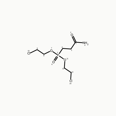 NC(=O)CCP(=O)(OCCCl)OCCCl